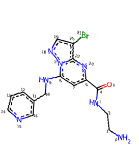 NCCNC(=O)c1cc(NCc2cccnc2)n2ncc(Br)c2n1